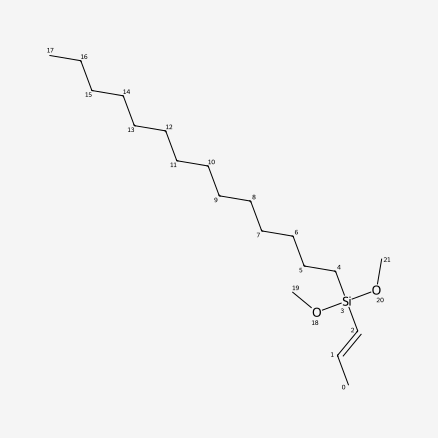 CC=C[Si](CCCCCCCCCCCCCC)(OC)OC